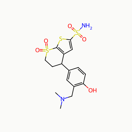 CN(C)Cc1cc(C2CCS(=O)(=O)c3sc(S(N)(=O)=O)cc32)ccc1O